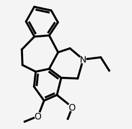 CCN1Cc2c(OC)c(OC)cc3c2C(C1)c1ccccc1CC3